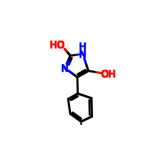 Oc1nc(-c2cc[c]cc2)c(O)[nH]1